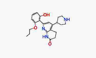 CCCOc1cccc(O)c1-c1cc(C2CCNCC2)c2c(n1)NC(=O)CC2